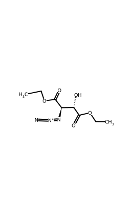 CCOC(=O)[C@@H](O)[C@@H](N=[N+]=[N-])C(=O)OCC